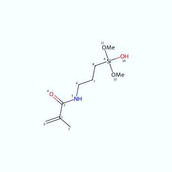 C=C(C)C(=O)NCCC[Si](O)(OC)OC